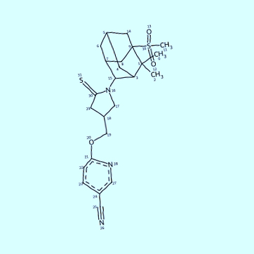 CC1(C)C2CC3CC(CC1(S(C)(=O)=O)C3)C2N1CC(COc2ccc(C#N)cn2)CC1=S